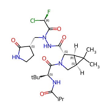 CC(C)C(=O)N[C@H](C(=O)N1C[C@H]2[C@@H]([C@H]1C(=O)NN(C[C@@H]1CCNC1=O)C(=O)[C@H](F)Cl)C2(C)C)C(C)(C)C